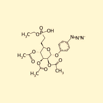 CCOP(=O)(O)CC[C@H]1O[C@H](Oc2ccc(N=[N+]=[N-])cc2)[C@@H](OC(C)=O)[C@@H](OC(C)=O)[C@@H]1OC(C)=O